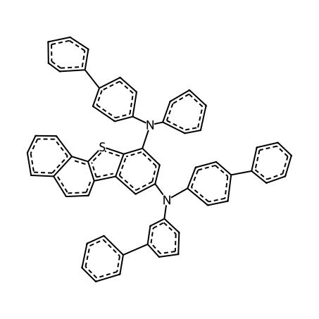 c1ccc(-c2ccc(N(c3cccc(-c4ccccc4)c3)c3cc(N(c4ccccc4)c4ccc(-c5ccccc5)cc4)c4sc5c6ccccc6ccc5c4c3)cc2)cc1